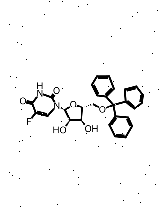 O=c1[nH]c(=O)n([C@@H]2O[C@H](COC(c3ccccc3)(c3ccccc3)c3ccccc3)[C@@H](O)[C@H]2O)cc1F